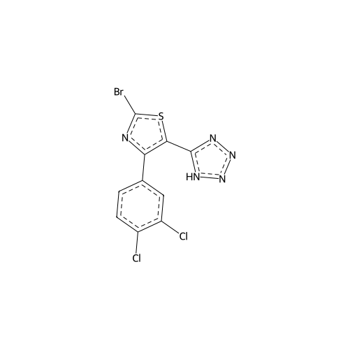 Clc1ccc(-c2nc(Br)sc2-c2nnn[nH]2)cc1Cl